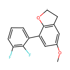 COc1cc2c(c(-c3cccc(F)c3F)c1)O[CH]C2